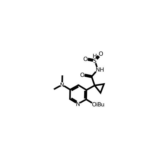 CC(C)COc1ncc(N(C)C)cc1C1(C(=O)N[SH](=O)=O)CC1